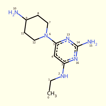 CCNc1cc(N2CCC(N)CC2)nc(N)n1